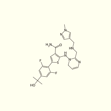 Cn1cc(CNCC2=NC=CCN2Nc2sc(-c3c(F)cc(C(C)(C)O)cc3F)cc2C(N)=O)cn1